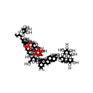 CC[C@@H](C)[C@@H](CC(=O)C[C@@H](O)C[C@H](O[C@@H]1OCC(O)(O)C1O)[C@H](C)CC)C[C@H](O)CC(=O)N[C@H]1C(CO)O[C@@H](OC(=O)[C@]23CCC(C)(C)CC2C2=CCC4C5(C)CC[C@H](O[C@@H]6OC[C@@H](O)[C@H](O[C@@H]7OC[C@@H](O)[C@H](O)C7O)C6O[C@@H]6OC(CO)[C@H](O)[C@H](O)C6O)[C@](C)(C=O)[C@@H]5CC[C@]4(C)[C@]2(C)CC3O)[C@H](O[C@@H]2OC(C)[C@H](O[C@@H]3OC[C@@H](O)C(O[C@@H]4OC[C@@](O)(CO)C4O)[C@H]3O)C(O)[C@@H]2O)C1O[C@@H]1OC(C)[C@H](O)[C@H](O)C1O